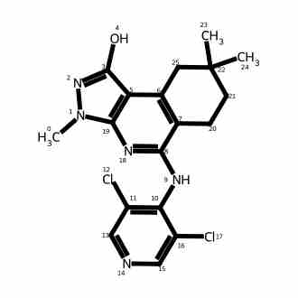 Cn1nc(O)c2c3c(c(Nc4c(Cl)cncc4Cl)nc21)CCC(C)(C)C3